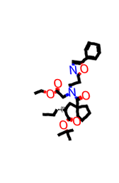 CCC[C@H](CC1(C(=O)N(CCc2ncc(-c3ccccc3)o2)CC(=O)OCC)CCCC1)C(=O)OC(C)(C)C